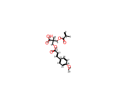 C=C(C)C(=O)OCC(C)(COC(=O)/C=C/c1ccc(OC)cc1)C(=O)O